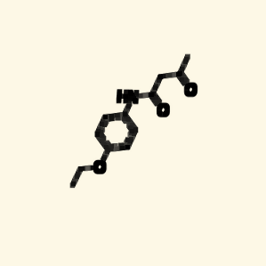 CCOc1ccc(NC(=O)CC(C)=O)cc1